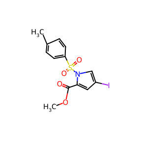 COC(=O)c1cc(I)cn1S(=O)(=O)c1ccc(C)cc1